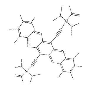 C=C(C)[Si](C#Cc1c2cc3c(C)c(C)c(C)c(C)c3cc2c(C#C[Si](C(=C)C)(C(C)C)C(C)C)c2cc3c(C)c(C)c(C)c(C)c3cc12)(C(C)C)C(C)C